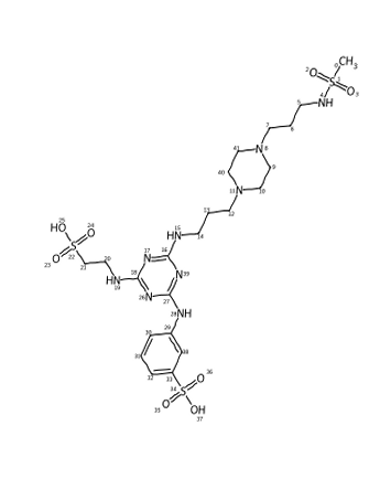 CS(=O)(=O)NCCCN1CCN(CCCNc2nc(NCCS(=O)(=O)O)nc(Nc3cccc(S(=O)(=O)O)c3)n2)CC1